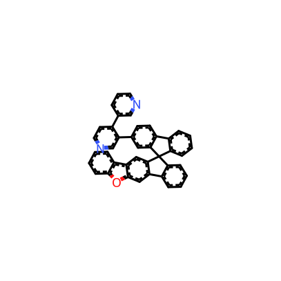 c1cncc(-c2ccncc2-c2ccc3c(c2)C2(c4ccccc4-3)c3ccccc3-c3cc4oc5ccccc5c4cc32)c1